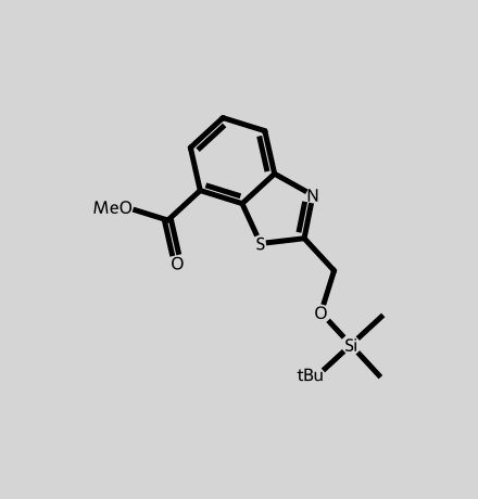 COC(=O)c1cccc2nc(CO[Si](C)(C)C(C)(C)C)sc12